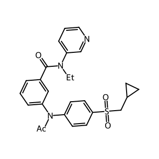 CCN(C(=O)c1cccc(N(C(C)=O)c2ccc(S(=O)(=O)CC3CC3)cc2)c1)c1cccnc1